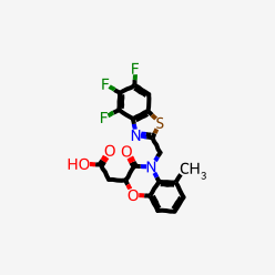 Cc1cccc2c1N(Cc1nc3c(F)c(F)c(F)cc3s1)C(=O)C(CC(=O)O)O2